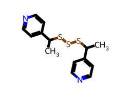 CC(SSSC(C)c1ccncc1)c1ccncc1